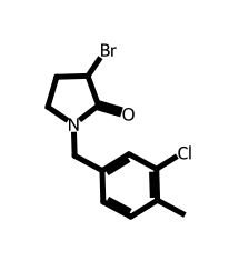 Cc1ccc(CN2CCC(Br)C2=O)cc1Cl